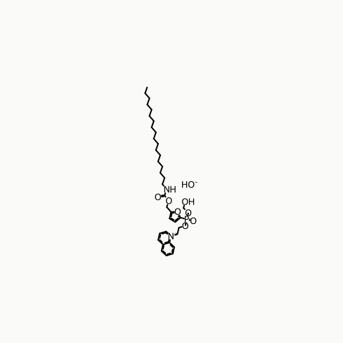 CCCCCCCCCCCCCCCCCCNC(=O)OCc1ccc(P(=O)(OCO)OCC[n+]2cccc3ccccc32)o1.[OH-]